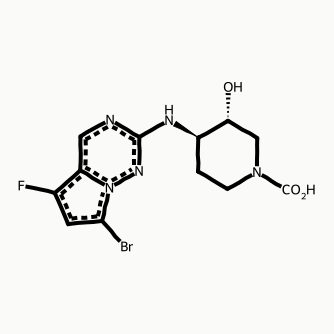 O=C(O)N1CC[C@@H](Nc2ncc3c(F)cc(Br)n3n2)[C@H](O)C1